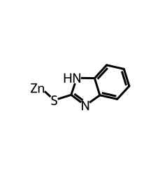 [Zn][S]c1nc2ccccc2[nH]1